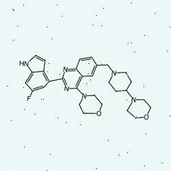 Fc1cc(-c2nc(N3CCOCC3)c3cc(CN4CCC(N5CCOCC5)CC4)ccc3n2)c2cc[nH]c2c1